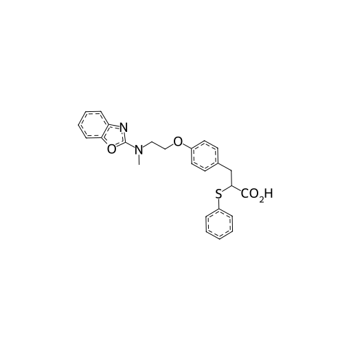 CN(CCOc1ccc(CC(Sc2ccccc2)C(=O)O)cc1)c1nc2ccccc2o1